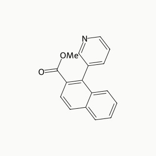 COC(=O)c1ccc2ccccc2c1-c1cccnc1